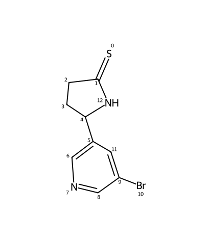 S=C1CCC(c2cncc(Br)c2)N1